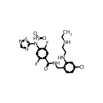 CCNCCNc1cc(Cl)ccc1CNC(=O)c1cc(F)c(N(c2ncns2)[SH](=O)=O)cc1F